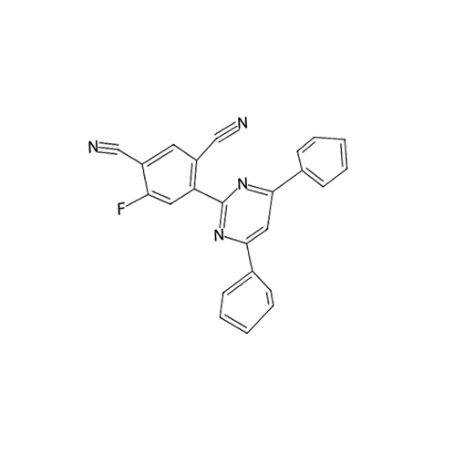 N#Cc1cc(C#N)c(-c2nc(-c3ccccc3)cc(-c3ccccc3)n2)cc1F